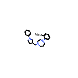 COc1ccccc1N1CCCN(CC2CCN(c3ccccc3)C2)CC1